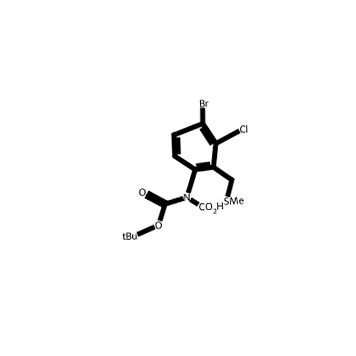 CSCc1c(N(C(=O)O)C(=O)OC(C)(C)C)ccc(Br)c1Cl